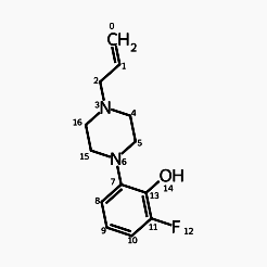 C=CCN1CCN(c2cccc(F)c2O)CC1